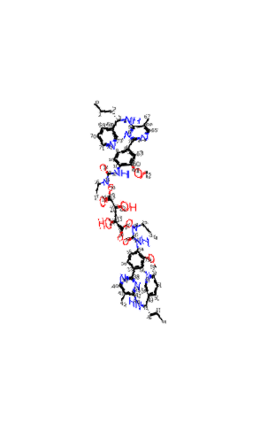 CCC[C@H](Nc1nc(-c2ccc(NC(=O)N(CC)OC(=O)C(O)C(O)C(=O)ON(CC)C(=O)Nc3ccc(-c4ncc(C)c(N[C@@H](CCC)c5cccnc5)n4)cc3OC)c(OC)c2)ncc1C)c1cccnc1